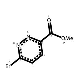 COC(=O)c1ccc(Br)nn1